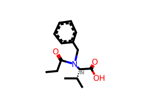 CCC(=O)N(Cc1ccccc1)[C@H](C(=O)O)C(C)C